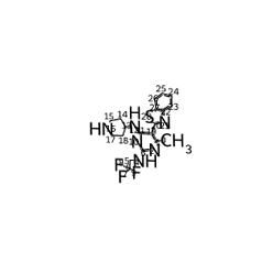 Cc1nc(NCC(F)(F)F)nc(NC2CCNCC2)c1-c1nc2ccccc2s1